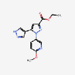 CCOC(=O)c1cc(-c2cn[nH]c2)n(-c2ccc(OC)nc2)n1